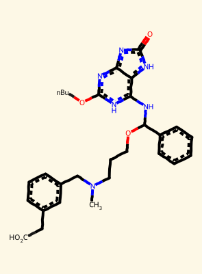 CCCCOc1nc2nc(=O)[nH]c-2c(NC(OCCCN(C)Cc2cccc(CC(=O)O)c2)c2ccccc2)[nH]1